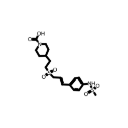 CS(=O)(=O)Nc1ccc(C=CCS(=O)(=O)CCC2CCN(C(=O)O)CC2)cc1